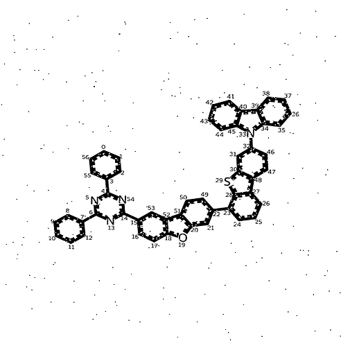 c1ccc(-c2nc(-c3ccccc3)nc(-c3ccc4oc5cc(-c6cccc7c6sc6cc(-n8c9ccccc9c9ccccc98)ccc67)ccc5c4c3)n2)cc1